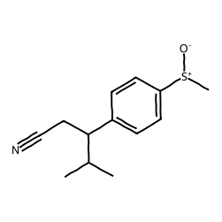 CC(C)C(CC#N)c1ccc([S+](C)[O-])cc1